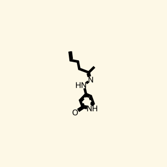 C=CCCC(C)=NNc1cc[nH]c(=O)c1